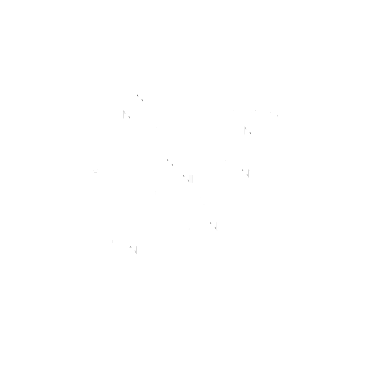 CC(=NNS(=O)(=O)c1cc([N+](=O)[O-])ccc1N(C)CCN1CCN(S(C)(=O)=O)CC1)c1cnn2ccc(Br)cc12